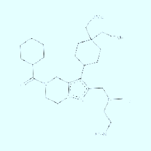 CNCCN(C)Cc1nn2c(c1C1CCC(COC)(COC)CC1)CN(C(=O)C1CCCCC1)CC2